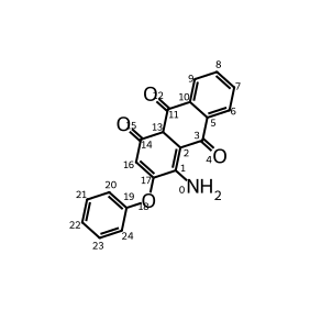 NC1=C2C(=O)c3ccccc3C(=O)C2C(=O)C=C1Oc1ccccc1